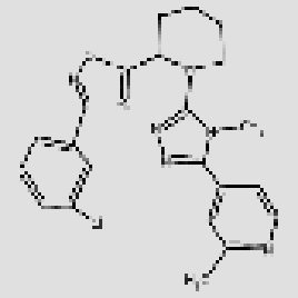 Cc1cc(-c2nnc(N3CCCCC3c3nc(-c4cccc(Cl)c4)no3)n2C)ccn1